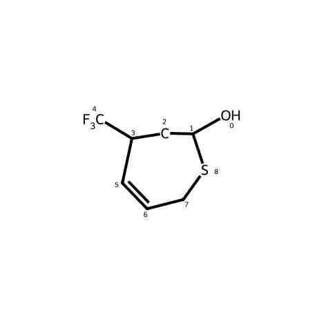 OC1CC(C(F)(F)F)C=CCS1